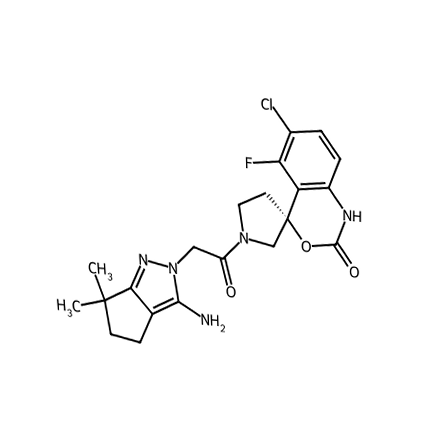 CC1(C)CCc2c1nn(CC(=O)N1CC[C@@]3(C1)OC(=O)Nc1ccc(Cl)c(F)c13)c2N